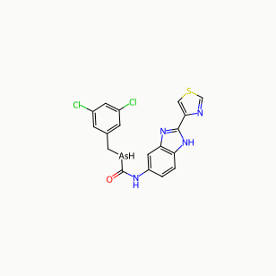 O=C(Nc1ccc2[nH]c(-c3cscn3)nc2c1)[AsH]Cc1cc(Cl)cc(Cl)c1